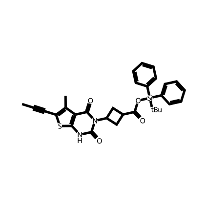 CC#Cc1sc2[nH]c(=O)n(C3CC(C(=O)O[Si](c4ccccc4)(c4ccccc4)C(C)(C)C)C3)c(=O)c2c1C